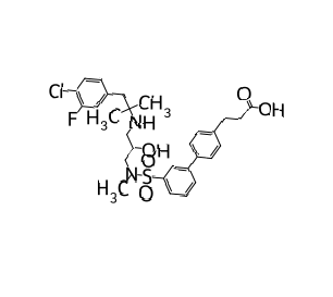 CN(CC(O)CNC(C)(C)Cc1ccc(Cl)c(F)c1)S(=O)(=O)c1cccc(-c2ccc(CCC(=O)O)cc2)c1